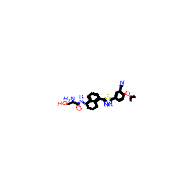 CC(C)Oc1ccc(-c2nnc(-c3cccc4c3CCC[C@H]4NC(=O)[C@H](N)CO)s2)cc1C#N